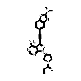 C=CC(=O)N1CC[C@H](n2nc(C#Cc3ccc4oc(N(C)C)nc4c3)c3c(N)ncnc32)C1